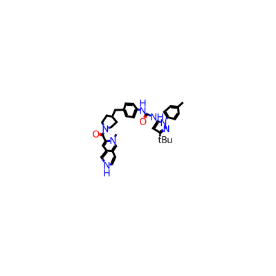 Cc1ccc(-n2nc(C(C)(C)C)cc2NC(=O)Nc2ccc(CC3CCN(C(=O)C4=CC5=CNC=CC5=CN4C)CC3)cc2)cc1